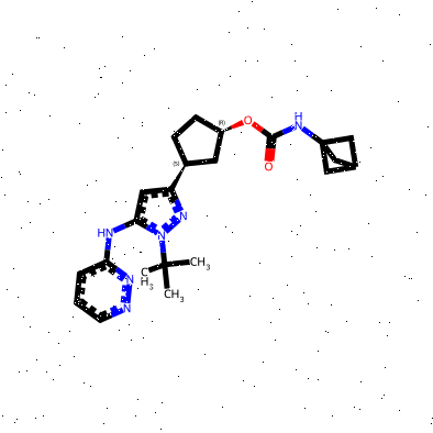 CC(C)(C)n1nc([C@H]2CC[C@@H](OC(=O)NC34CC(C3)C4)C2)cc1Nc1cccnn1